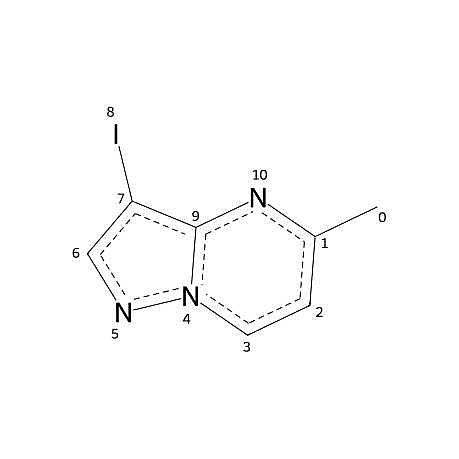 Cc1ccn2ncc(I)c2n1